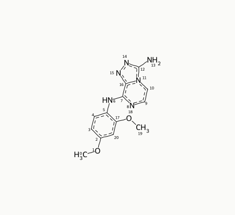 COc1ccc(Nc2nccn3c(N)nnc23)c(OC)c1